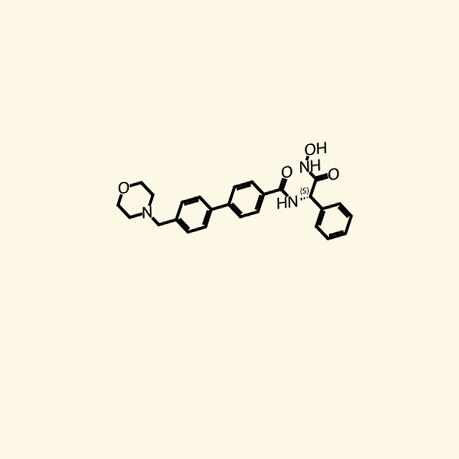 O=C(N[C@H](C(=O)NO)c1ccccc1)c1ccc(-c2ccc(CN3CCOCC3)cc2)cc1